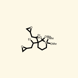 CCC(CC1CO1)C1(C(CC)CC2CO2)CCC[Si](OC)(OC)C1(OC)OC